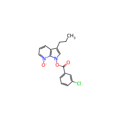 CCCc1cn(OC(=O)c2cccc(Cl)c2)c2c1ccc[n+]2[O-]